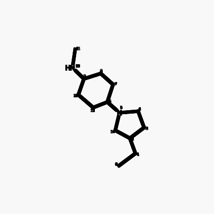 CCC1CCN(C2CCC(NC)CC2)C1